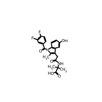 Cc1c(CC(=O)NC(C)(C)C(=O)O)c2cc(O)ccc2n1C(=O)c1ccc(F)c(F)c1